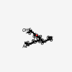 C=CC(=O)N(C=O)CCCCCC(=O)OCCNC(=O)N(CCOC(=O)CCCCCN1C(=O)CCC1=O)C(=O)NCCOC(=O)CCCCCN(C(C)=O)C(=O)C=C